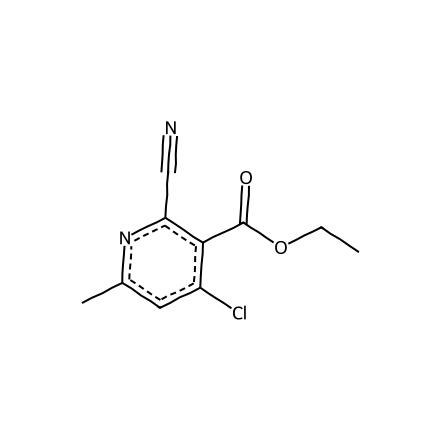 CCOC(=O)c1c(Cl)cc(C)nc1C#N